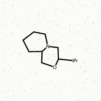 CC(C)C1CN2CCCCC2CO1